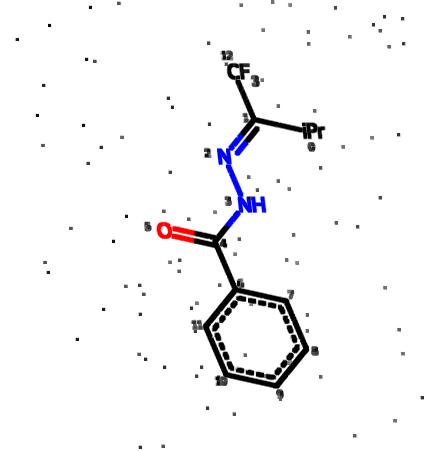 CC(C)/C(=N\NC(=O)c1ccccc1)C(F)(F)F